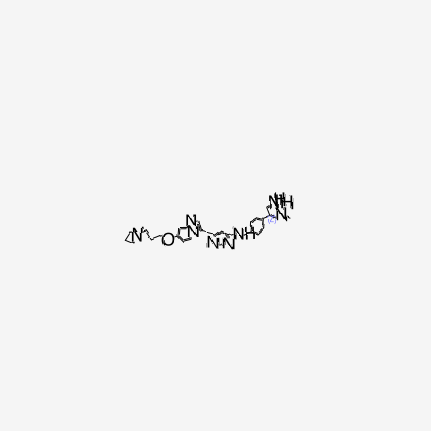 CN/C=C(\C=N)c1ccc(CNc2cc(-c3cnc4cc(OCCCN5CCC5)ccn34)ncn2)cc1